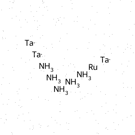 N.N.N.N.N.[Ru].[Ta].[Ta].[Ta]